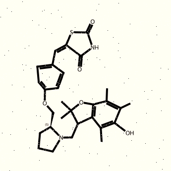 Cc1c(C)c2c(c(C)c1O)C(CN1CCC[C@H]1COc1ccc(C=C3SC(=O)NC3=O)cc1)C(C)(C)O2